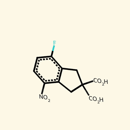 O=C(O)C1(C(=O)O)Cc2c(F)ccc([N+](=O)[O-])c2C1